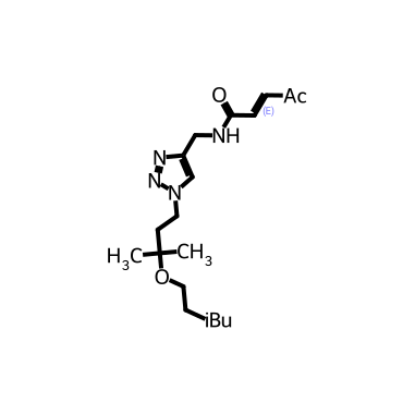 CCC(C)CCOC(C)(C)CCn1cc(CNC(=O)/C=C/C(C)=O)nn1